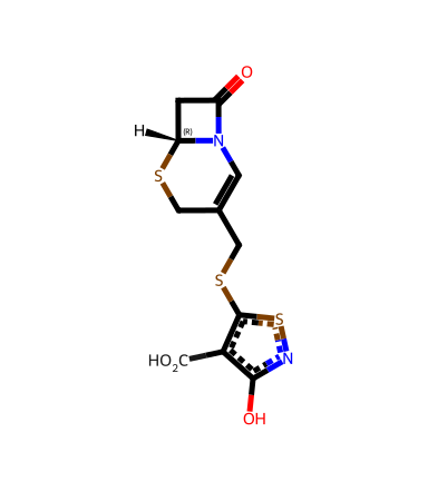 O=C(O)c1c(O)nsc1SCC1=CN2C(=O)C[C@H]2SC1